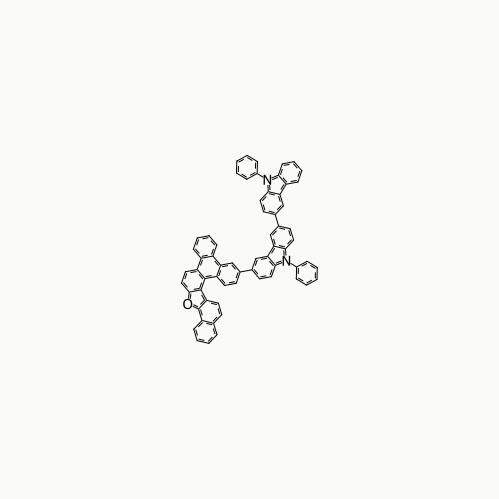 c1ccc(-n2c3ccccc3c3cc(-c4ccc5c(c4)c4cc(-c6ccc7c(c6)c6ccccc6c6ccc8oc9c%10ccccc%10ccc9c8c67)ccc4n5-c4ccccc4)ccc32)cc1